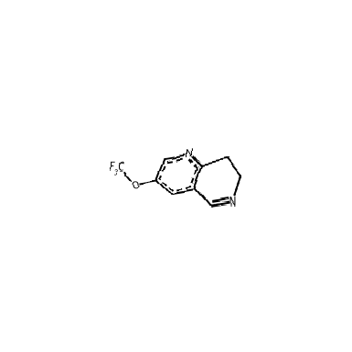 FC(F)(F)Oc1cnc2c(c1)C=NCC2